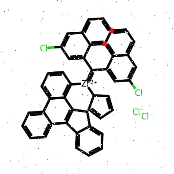 Clc1cc([C](c2cc(Cl)cc3ccccc23)=[Zr+2]([c]2cccc3c2c2c(c4ccccc43)-c3ccccc3C2)[CH]2C=CC=C2)c2ccccc2c1.[Cl-].[Cl-]